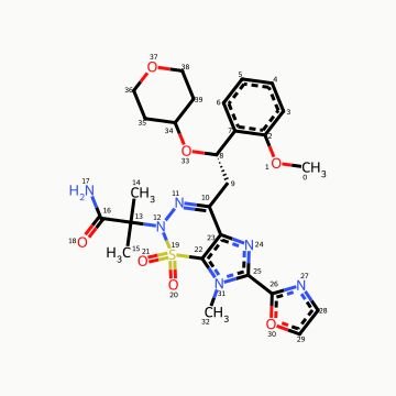 COc1ccccc1[C@H](CC1=NN(C(C)(C)C(N)=O)S(=O)(=O)c2c1nc(-c1ncco1)n2C)OC1CCOCC1